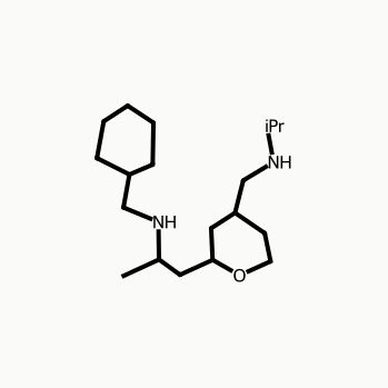 CC(C)NCC1CCOC(CC(C)NCC2CCCCC2)C1